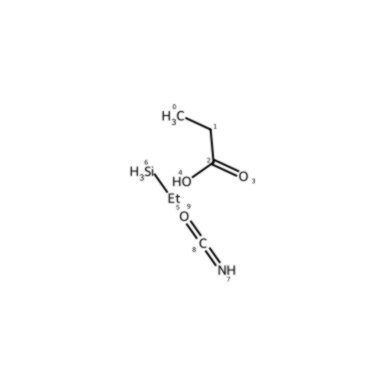 CCC(=O)O.CC[SiH3].N=C=O